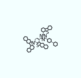 C1=C(c2nc(-c3ccc(-c4ccccc4)cc3)nc(-c3cccc4c3sc3ccccc34)n2)c2c(sc3cc4ccccc4cc23)C(n2c3cc4ccccc4cc3c3c4ccccc4ccc32)C1